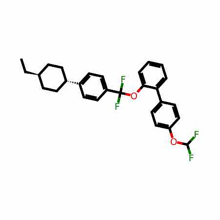 CC[C@H]1CC[C@H](c2ccc(C(F)(F)Oc3ccccc3-c3ccc(OC(F)F)cc3)cc2)CC1